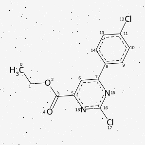 CCOC(=O)c1cc(-c2ccc(Cl)cc2)nc(Cl)n1